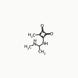 CNC(C)Nc1c(C)c(=O)c1=O